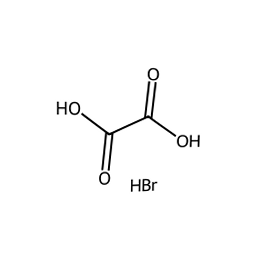 Br.O=C(O)C(=O)O